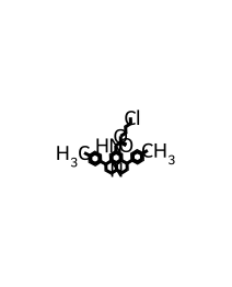 Cc1ccc(C2CCN3CCC(c4ccc(C)cc4)c4cc(NC(=O)OCCCCl)cc2c43)cc1